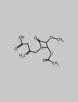 C=C(CC(=O)O)CN1C(=O)C(OC)C1OC(C)=O